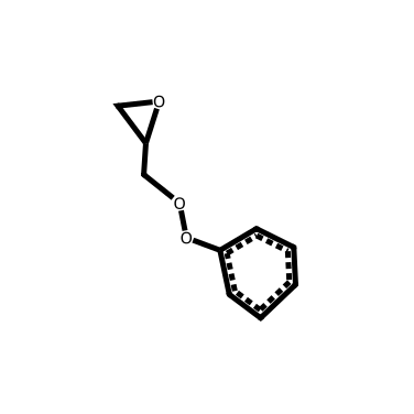 c1ccc(OOCC2CO2)cc1